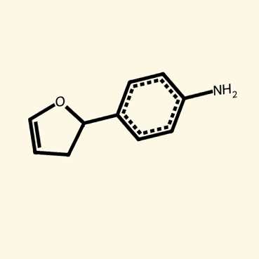 Nc1ccc([C]2CC=CO2)cc1